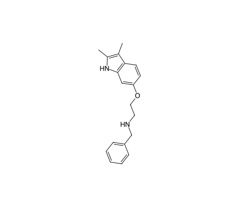 Cc1[nH]c2cc(OCCNCc3ccccc3)ccc2c1C